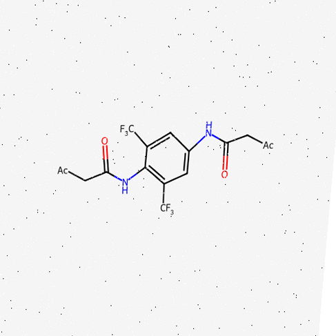 CC(=O)CC(=O)Nc1cc(C(F)(F)F)c(NC(=O)CC(C)=O)c(C(F)(F)F)c1